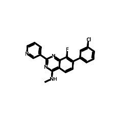 CNc1nc(-c2cccnc2)nc2c(F)c(-c3cccc(Cl)c3)ccc12